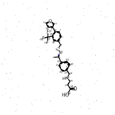 C/C(=N\OCc1ccc(-c2ccoc2)c(C(F)(F)F)c1)c1ccc(CNCCC(=O)O)cc1